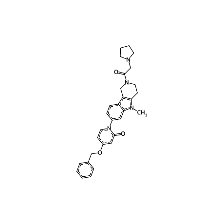 Cn1c2c(c3ccc(-n4ccc(OCc5ccccc5)cc4=O)cc31)CN(C(=O)CN1CCCC1)CC2